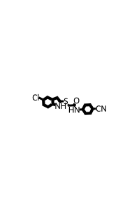 N#Cc1ccc(NC(=O)CSc2cc3cc(Cl)ccc3[nH]2)cc1